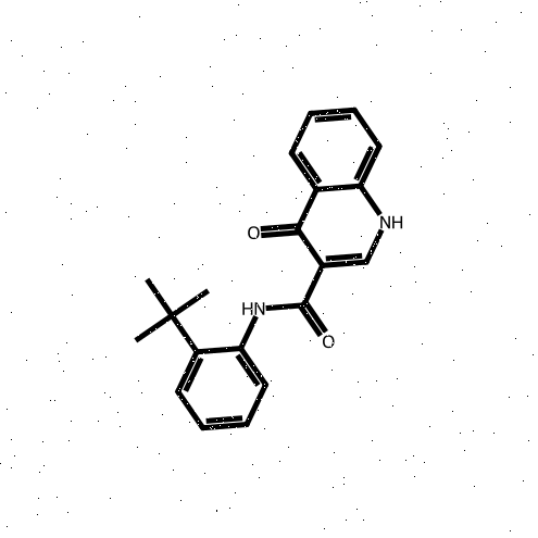 CC(C)(C)c1ccccc1NC(=O)c1c[nH]c2ccccc2c1=O